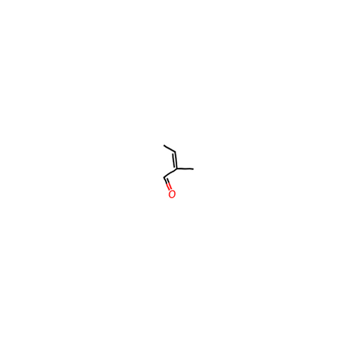 CC=C(C)C=O